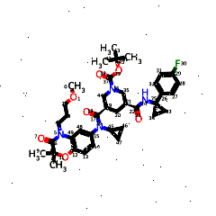 COCCCN1C(=O)C(C)(C)Oc2ccc(N(C(=O)[C@@H]3C[C@H](C(=O)NC4(c5ccc(F)cc5)CC4)CN(C(=O)OC(C)(C)C)C3)C3CC3)cc21